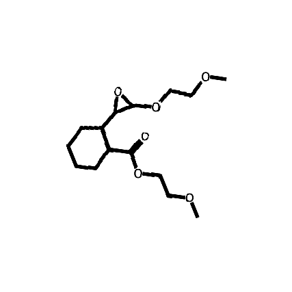 COCCOC(=O)C1CCCCC1C1OC1OCCOC